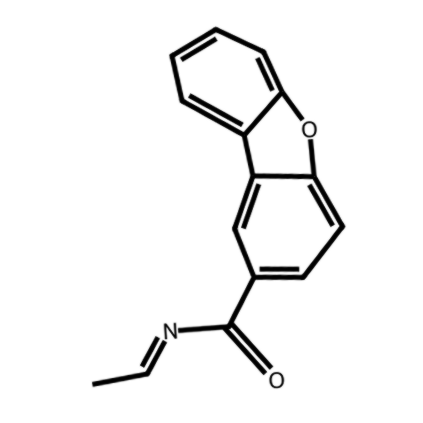 C/C=N/C(=O)c1ccc2oc3ccccc3c2c1